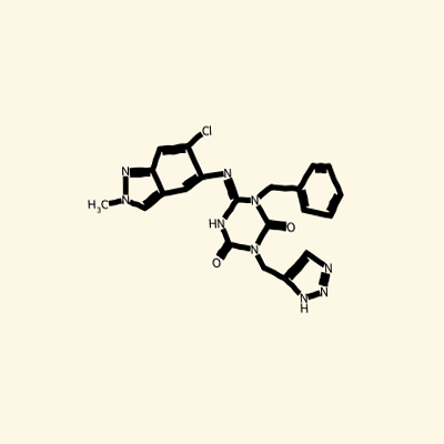 Cn1cc2cc(N=c3[nH]c(=O)n(Cc4cnn[nH]4)c(=O)n3Cc3ccccc3)c(Cl)cc2n1